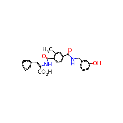 Cc1cc(C(=O)NCc2cccc(O)c2)ccc1C(=O)NC(=Cc1ccccc1)C(=O)O